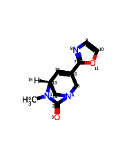 CN1C(=O)N2CC(c3ncco3)=C[C@@H]1C2